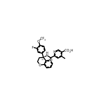 Cc1cc(C(=O)N[C@]2(c3ccc(OC(F)(F)F)c(F)c3)CCOc3cccnc32)ncc1C(=O)O